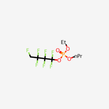 CCCOP(=O)(OCC)OC(F)(F)C(F)(F)C(F)(F)CF